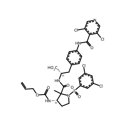 C=CCOC(=O)N[C@H]1CCN(S(=O)(=O)c2cc(Cl)cc(Cl)c2)C1(C)C(=O)N[C@@H](Cc1ccc(NC(=O)c2c(Cl)cncc2Cl)cc1)C(=O)O